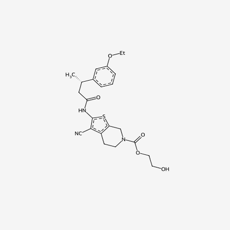 CCOc1cccc([C@@H](C)CC(=O)Nc2sc3c(c2C#N)CCN(C(=O)OCCO)C3)c1